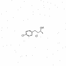 C[C@H](O)[C@H](Cl)Cc1ccc(Cl)cc1